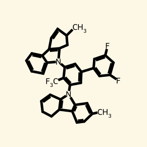 Cc1ccc2c3c(n(-c4cc(-c5cc(F)cc(F)c5)cc(-n5c6c(c7ccccc75)C=CC(C)C6)c4C(F)(F)F)c2c1)C=CCC3